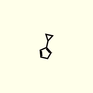 [C]1=C(C2CC2)C=CC1